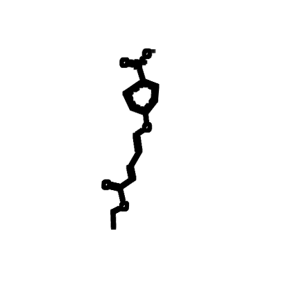 CCOC(=O)C=CC=COc1ccc([N+](=O)[O-])cc1